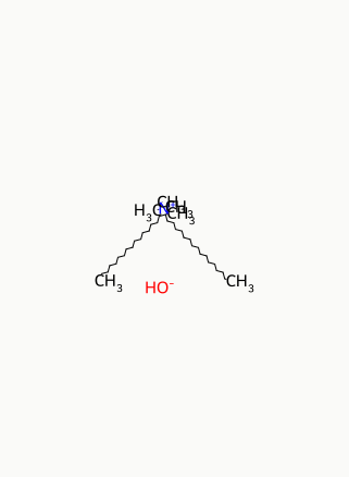 CCCCCCCCCCCCCCCCC(C)(CCCCCCCCCCCCCCCC)[N+](C)(C)C.[OH-]